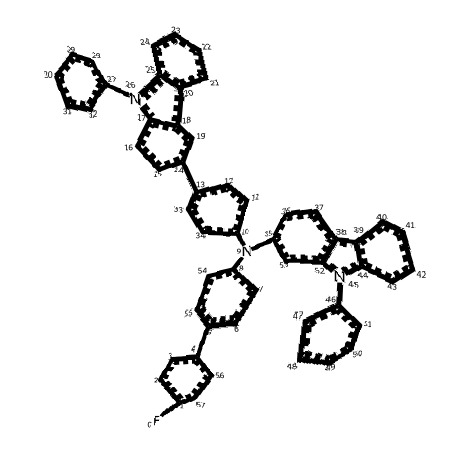 Fc1ccc(-c2ccc(N(c3ccc(-c4ccc5c(c4)c4ccccc4n5-c4ccccc4)cc3)c3ccc4c5ccccc5n(-c5ccccc5)c4c3)cc2)cc1